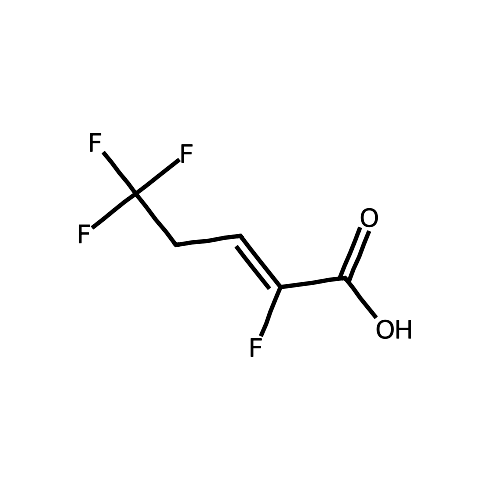 O=C(O)C(F)=CCC(F)(F)F